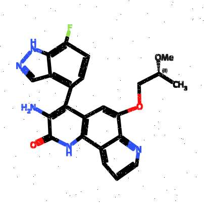 CO[C@H](C)COc1cc2c(-c3ccc(F)c4[nH]ncc34)c(N)c(=O)[nH]c2c2cccnc12